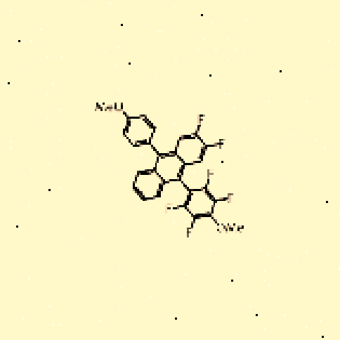 COc1ccc(-c2c3ccccc3c(-c3c(F)c(F)c(OC)c(F)c3F)c3cc(F)c(F)cc23)cc1